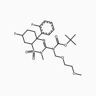 COCCOCN(C(=O)OC(C)(C)C)C1=NC2(c3ccccc3F)CCC(F)CC2S(=O)(=O)N1C